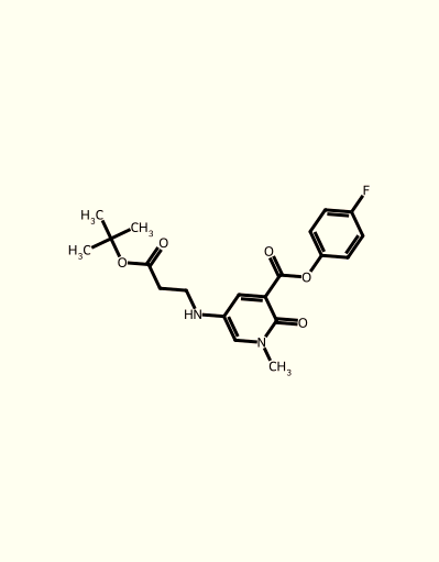 Cn1cc(NCCC(=O)OC(C)(C)C)cc(C(=O)Oc2ccc(F)cc2)c1=O